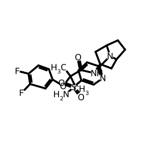 CC(C)(Oc1ccc(F)c(F)c1)C(=O)NC1CC2CCC(C1)N2c1ccc(S(N)(=O)=O)cn1